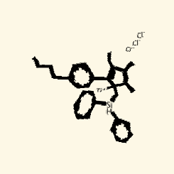 CCCCc1ccc(C2=C(C)C(C)=C(C)[C]2([Ti+3])C[SiH](c2ccccc2)c2ccccc2)cc1.[Cl-].[Cl-].[Cl-]